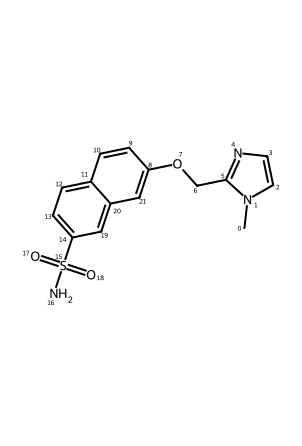 Cn1ccnc1COc1ccc2ccc(S(N)(=O)=O)cc2c1